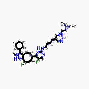 CCCN(CC)CCNCC(/C=N\C)=C/C=C/CNc1ncc(F)c(/C2=C/CC3=C(C4CCCCC4)N(C)NC3C(F)C=C2)n1